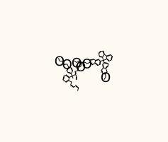 C=C/C(=C\C=C(/C)OC(COC)COc1ccc2cc(C3(c4ccc5cc(OC)ccc5c4)c4ccccc4-c4ccccc43)ccc2c1)C(C)(c1ccc(OCCOC)cc1)c1ccccc1C/C=C\C=C/C